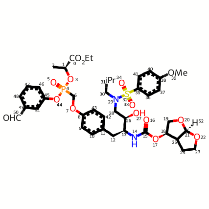 CCOC(=O)[C@H](C)OP(=O)(COc1ccc(C[C@H](NC(=O)O[C@H]2CO[C@H]3OCCC32)[C@H](O)CN(CC(C)C)S(=O)(=O)c2ccc(OC)cc2)cc1)Oc1cccc(C=O)c1